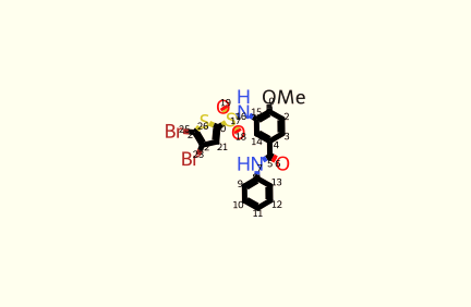 COc1ccc(C(=O)Nc2ccccc2)cc1NS(=O)(=O)c1cc(Br)c(Br)s1